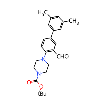 Cc1cc(C)cc(-c2ccc(N3CCN(C(=O)OC(C)(C)C)CC3)c(C=O)c2)c1